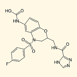 O=C(O)Nc1ccc2c(c1)N(S(=O)(=O)c1ccc(F)cc1)CC(CNC(=O)c1nnc[nH]1)O2